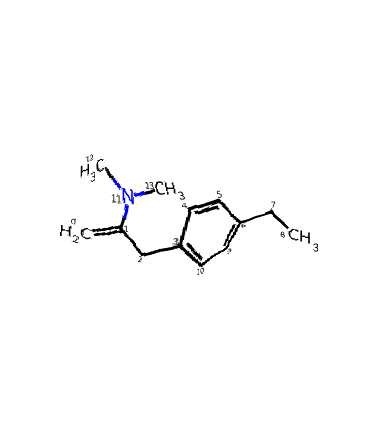 C=C(Cc1ccc(CC)cc1)N(C)C